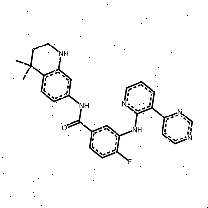 CC1(C)CCNc2cc(NC(=O)c3ccc(F)c(Nc4ncccc4-c4ccncn4)c3)ccc21